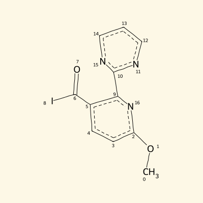 COc1ccc(C(=O)I)c(-c2ncccn2)n1